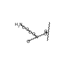 CCCCCCCCC(CCCCCC)C(=O)OCCCCCCN(CCCCCCOC)CCOCCOCCOCCOCCN